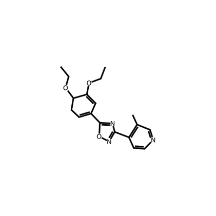 CCOC1=CC(c2nc(-c3ccncc3C)no2)=CCC1OCC